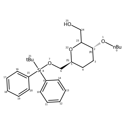 CCCCO[C@@H]1CC[C@@H](CO[Si](c2ccccc2)(c2ccccc2)C(C)(C)C)OC1CO